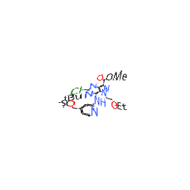 CCOCCn1nc(C(=O)OC)c2nc(Cl)nc(Nc3cc(CO[Si](C)(C)C(C)(C)C)ccn3)c21